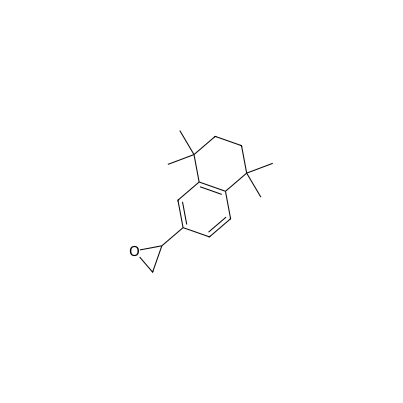 CC1(C)CCC(C)(C)c2cc(C3CO3)ccc21